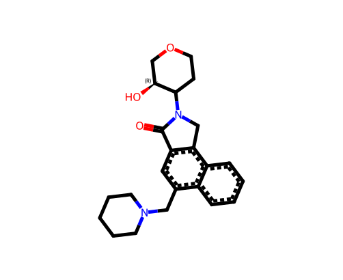 O=C1c2cc(CN3CCCCC3)c3ccccc3c2CN1C1CCOC[C@@H]1O